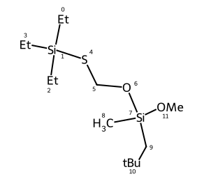 CC[Si](CC)(CC)SCO[Si](C)(CC(C)(C)C)OC